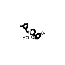 COc1cccc(C2(O)CCCN(Cc3cccc(C)c3)C2)c1.Cl